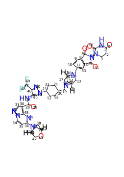 O=C1CCN(N2C(=O)c3ccc(N4C[C@H]5C[C@@H]4CN5CC4CCC(n5cc(NC(=O)c6cnn7ccc(N8C[C@H]9C[C@@H]8CO9)nc67)c(C(F)F)n5)CC4)cc3C2=O)C(=O)N1